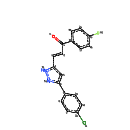 O=C(C=Cc1cc(-c2ccc(Cl)cc2)n[nH]1)c1ccc(F)cc1